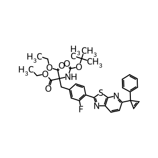 CCOC(=O)C(Cc1ccc(-c2nc3ccc(C4(c5ccccc5)C=C4)nc3s2)c(F)c1)(NC(=O)OC(C)(C)C)C(=O)OCC